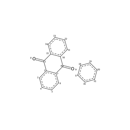 O=C1c2ccccc2C(=O)c2ccccc21.c1ccccc1